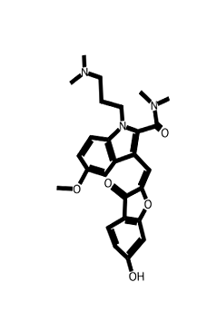 COc1ccc2c(c1)c(C=C1Oc3cc(O)ccc3C1=O)c(C(=O)N(C)C)n2CCCN(C)C